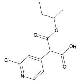 CCC(C)OC(=O)C(C(=O)O)c1ccnc(Cl)c1